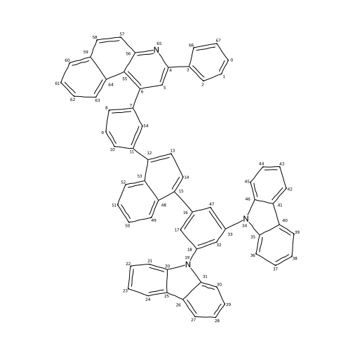 c1ccc(-c2cc(-c3cccc(-c4ccc(-c5cc(-n6c7ccccc7c7ccccc76)cc(-n6c7ccccc7c7ccccc76)c5)c5ccccc45)c3)c3c(ccc4ccccc43)n2)cc1